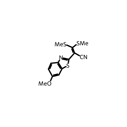 COc1ccc2nc(C(C#N)=C(SC)SC)sc2c1